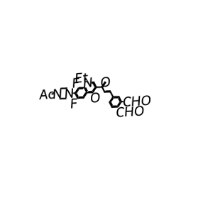 CCn1cc(C(=O)/C=C/c2ccc(C=O)c(C=O)c2)c(=O)c2cc(F)c(N3CCN(C(C)=O)CC3)c(F)c21